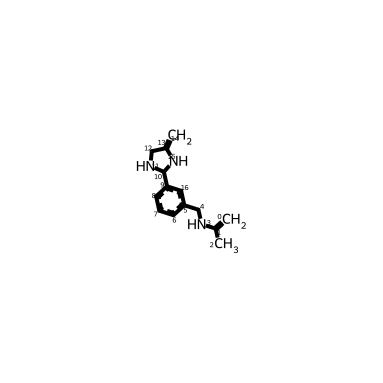 C=C(C)NCc1cccc(C2NCC(=C)N2)c1